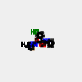 CN1CCSC1=NNC(=O)C(=O)[C@H](NC(=O)C1CCCCC1)C1CCCCC1.Cl